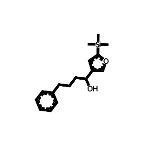 C[Si](C)(C)c1cc(C(O)CCCc2ccccc2)co1